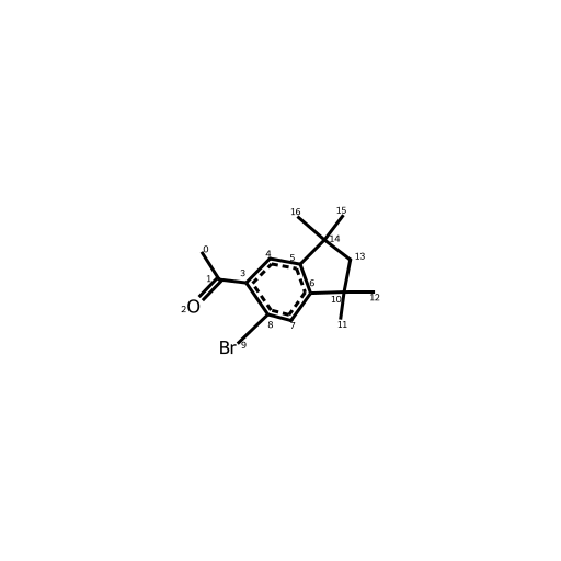 CC(=O)c1cc2c(cc1Br)C(C)(C)CC2(C)C